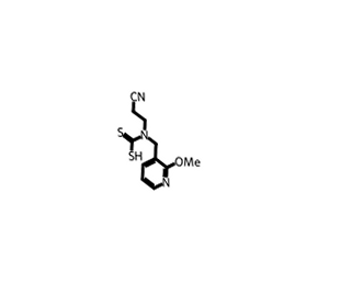 COc1ncccc1CN(CCC#N)C(=S)S